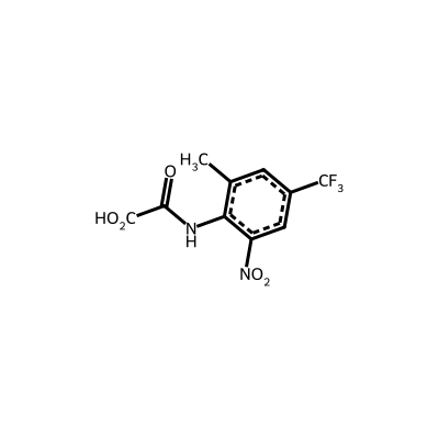 Cc1cc(C(F)(F)F)cc([N+](=O)[O-])c1NC(=O)C(=O)O